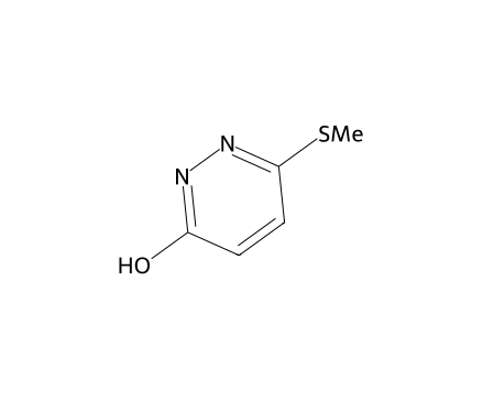 [CH2]Sc1ccc(O)nn1